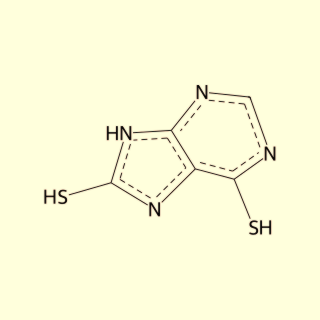 Sc1nc2c(S)ncnc2[nH]1